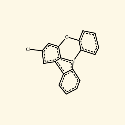 Clc1cc2c3c(c1)c1ccccc1n3-c1ccccc1O2